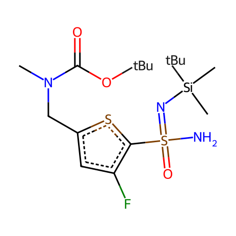 CN(Cc1cc(F)c(S(N)(=O)=N[Si](C)(C)C(C)(C)C)s1)C(=O)OC(C)(C)C